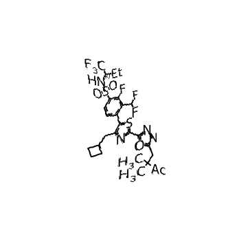 CC[C@@H](NS(=O)(=O)c1ccc(-c2sc(-c3nnc(CC(C)(C)C(C)=O)o3)nc2CC2CCC2)c(C(F)F)c1F)C(F)(F)F